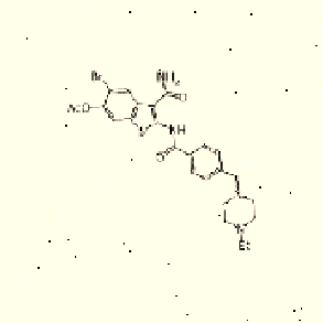 CCN1CCN(Cc2ccc(C(=O)Nc3sc4cc(OC(C)=O)c(Br)cc4c3C(N)=O)cc2)CC1